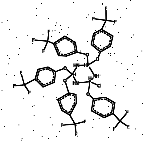 FC(F)(F)c1ccc(O[PH]2(Cl)N[PH](Oc3ccc(C(F)(F)F)cc3)(Oc3ccc(C(F)(F)F)cc3)N[PH](Oc3ccc(C(F)(F)F)cc3)(Oc3ccc(C(F)(F)F)cc3)N2)cc1